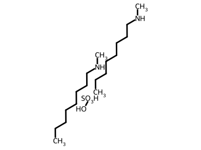 CCCCCCCCNC.CCCCCCCCNC.O=S(=O)(O)O